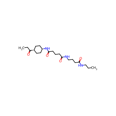 CCCNC(=O)CCCNC(=O)CCCC(=O)N[C@H]1CC[C@@H](C(=O)CC)CC1